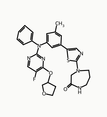 Cc1cc(-c2cnc(N3CCCNC(=O)C3)s2)cc(N(c2ccccc2)c2ncc(F)c(OC3CCOC3)n2)c1